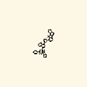 CC1(C)c2c(-c3cccc(-c4ccc(-c5cc(-c6ccccc6)nc(-c6ccccc6)n5)c5ccccc45)c3)cccc2-c2ccc3ccccc3c21